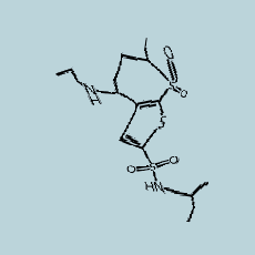 CCNC1CC(C)S(=O)(=O)c2sc(S(=O)(=O)NC(C)C)cc21